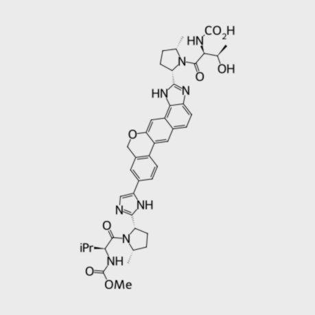 COC(=O)N[C@H](C(=O)N1[C@@H](C)CC[C@H]1c1ncc(-c2ccc3c(c2)COc2cc4c(ccc5nc([C@@H]6CC[C@H](C)N6C(=O)[C@@H](NC(=O)O)[C@@H](C)O)[nH]c54)cc2-3)[nH]1)C(C)C